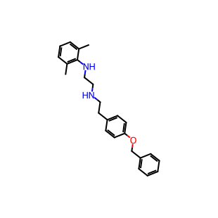 Cc1cccc(C)c1NCCNCCc1ccc(OCc2ccccc2)cc1